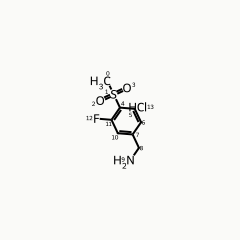 CS(=O)(=O)c1ccc(CN)cc1F.Cl